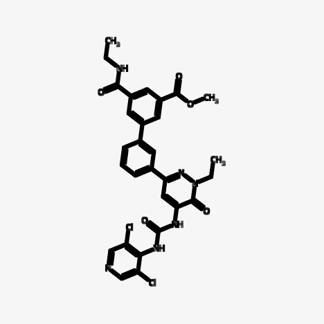 CCNC(=O)c1cc(C(=O)OC)cc(-c2cccc(-c3cc(NC(=O)Nc4c(Cl)cncc4Cl)c(=O)n(CC)n3)c2)c1